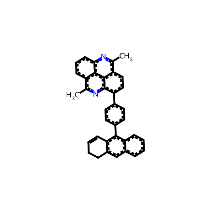 Cc1nc2c(-c3ccc(-c4c5c(cc6ccccc46)CCC=C5)cc3)ccc3c(C)nc4cccc1c4c32